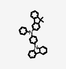 CC1(C)c2ccccc2-c2cc(N(c3ccccc3)c3ccc(N4c5ccccc5C5C=CC=CC54)cc3)ccc21